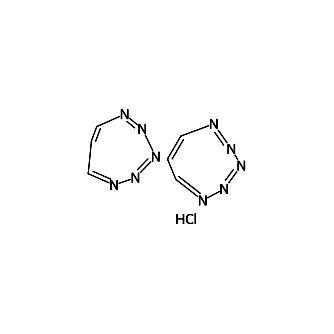 C1=CN=NN=NN=C1.C1=CN=NN=NN=C1.Cl